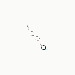 C=CCC[C@H]1CC[C@H]([C@H]2CC[C@H](OCc3ccc(F)cc3)CC2)CC1